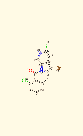 Cc1cccc(Cl)c1C(=O)n1cc(Br)c2cc(Cl)ncc21